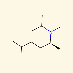 CC(C)CC[C@H](C)N(C)C(C)C